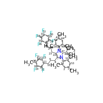 Cc1cc(C)c(N2C(CCCc3c(F)c(F)c(C)c(F)c3F)=C(CCCc3c(F)c(F)c(F)c(F)c3F)N(c3c(C)cc(C)cc3C)C2C(C)C)c(C)c1